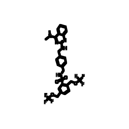 CN(C)c1nc(NCc2ccc(CNS(=O)(=O)c3cc(COC(F)(F)F)ccc3COC(F)(F)F)cc2)nc2ccccc12